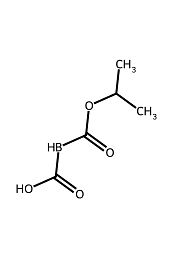 CC(C)OC(=O)BC(=O)O